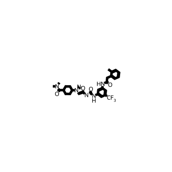 Cc1ccccc1CC(=O)Nc1cc(NC(=O)[N-]c2c[n+](C3CCC(C(=O)N(C)C)CC3)no2)cc(C(F)(F)F)c1